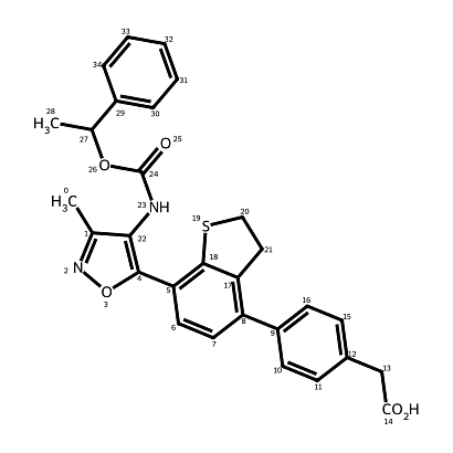 Cc1noc(-c2ccc(-c3ccc(CC(=O)O)cc3)c3c2SCC3)c1NC(=O)OC(C)c1ccccc1